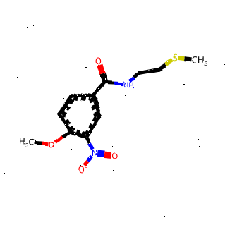 COc1ccc(C(=O)NCCSC)cc1[N+](=O)[O-]